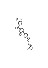 C[C@@H]1CCCN1CCCOc1ccc(N2CCN(C(=O)c3ccc(F)c(F)c3)CC2=O)cc1